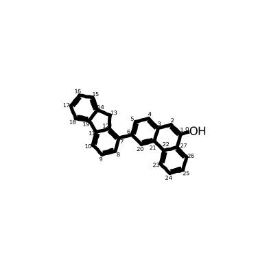 Oc1cc2ccc(-c3cccc4c3Cc3ccccc3-4)cc2c2ccccc12